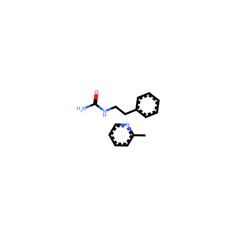 Cc1ccccn1.NC(=O)N[CH]Cc1ccccc1